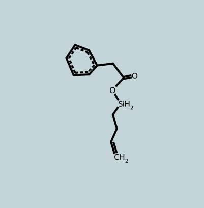 C=CCC[SiH2]OC(=O)Cc1ccccc1